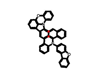 c1ccc2c(c1)Oc1cccc3c4cc(-c5ccccc5N(c5ccc6oc7ccccc7c6c5)c5cccc6ccccc56)ccc4n-2c13